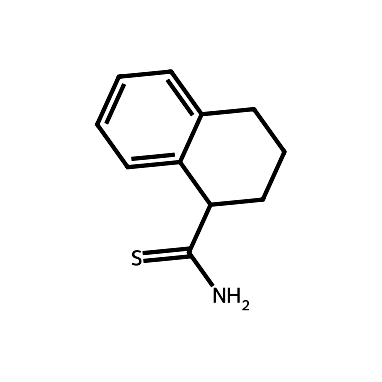 NC(=S)C1CCCc2ccccc21